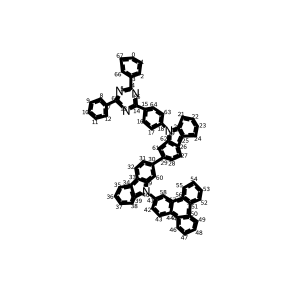 c1ccc(-c2nc(-c3ccccc3)nc(-c3ccc(-n4c5ccccc5c5ccc(-c6ccc7c8ccccc8n(-c8ccc9c%10ccccc%10c%10ccccc%10c9c8)c7c6)cc54)cc3)n2)cc1